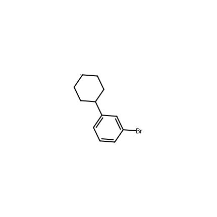 Brc1cccc(C2CC[CH]CC2)c1